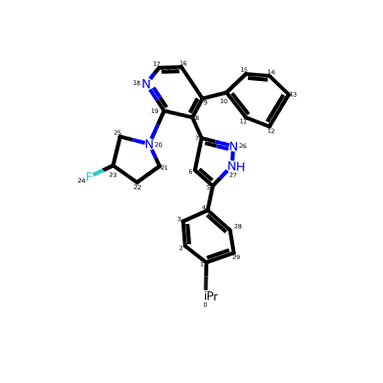 CC(C)c1ccc(-c2cc(-c3c(-c4ccccc4)ccnc3N3CCC(F)C3)n[nH]2)cc1